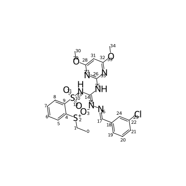 CC[S+]([O-])c1ccccc1S(=O)(=O)NC(=NN=Cc1cccc(Cl)c1)Nc1nc(OC)cc(OC)n1